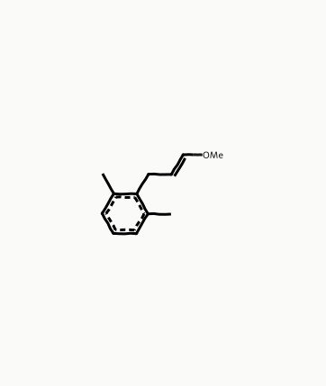 COC=CCc1c(C)cccc1C